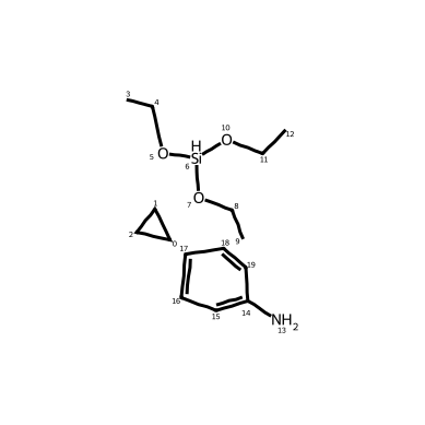 C1CC1.CCO[SiH](OCC)OCC.Nc1ccccc1